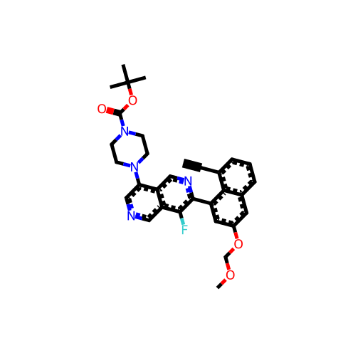 C#Cc1cccc2cc(OCOC)cc(-c3ncc4c(N5CCN(C(=O)OC(C)(C)C)CC5)cncc4c3F)c12